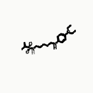 CCN(CC)c1ccc(NCCCCCNS(=O)(=O)C(C)C)cc1